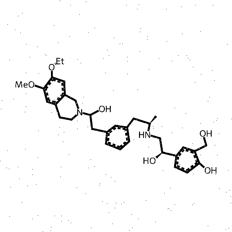 CCOc1cc2c(cc1OC)CCN(C(O)Cc1cccc(C[C@@H](C)NC[C@H](O)c3ccc(O)c(CO)c3)c1)C2